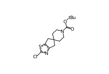 CC(C)(C)OC(=O)N1CCC2(CC1)Cc1nc(Cl)sc1C2